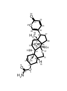 C[C@]12CC[C@H](OC(N)=O)C[C@H]1CC[C@@H]1[C@@H]2CC[C@]2(C)[C@@H](c3ccc(=O)oc3)CC[C@]12O